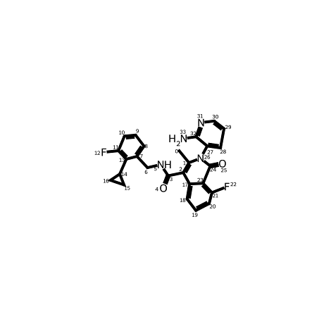 Cc1c(C(=O)NCc2cccc(F)c2C2CC2)c2cccc(F)c2c(=O)n1-c1cccnc1N